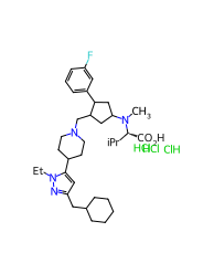 CCn1nc(CC2CCCCC2)cc1C1CCN(CC2CC(N(C)[C@@H](C(=O)O)C(C)C)CC2c2cccc(F)c2)CC1.Cl.Cl.Cl